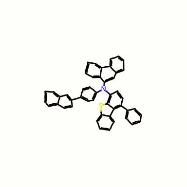 c1ccc(-c2ccc(N(c3ccc(-c4ccc5ccccc5c4)cc3)c3cc4ccccc4c4ccccc34)c3sc4ccccc4c23)cc1